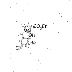 CCOC(=O)c1cc(C)n(Cc2cc(Cl)cc(I)c2O)n1